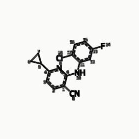 N#Cc1ccc(C2CC2)nc1Nc1cc(F)ccc1Cl